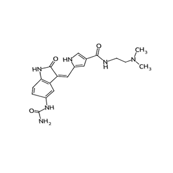 CN(C)CCNC(=O)c1c[nH]c(C=C2C(=O)Nc3ccc(NC(N)=O)cc32)c1